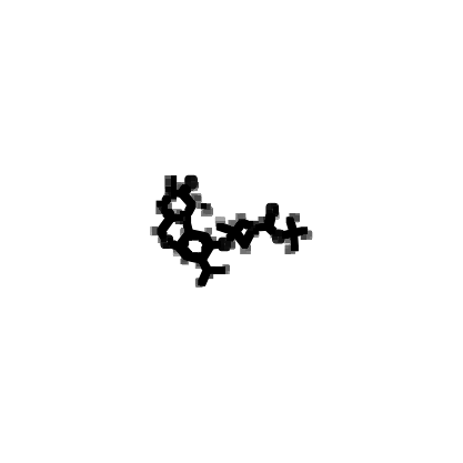 CC(C)c1cc2c(cc1OC1(C)CN(C(=O)OC(C)(C)C)C1)N1C(=NNC(=O)[C@@H]1C)CO2